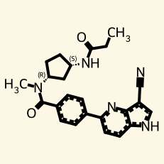 CCC(=O)N[C@H]1CC[C@@H](N(C)C(=O)c2ccc(-c3ccc4[nH]cc(C#N)c4n3)cc2)C1